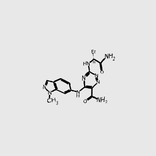 CC[C@@H](Nc1nnc(C(N)=O)c(Nc2ccc3cnn(C)c3c2)n1)C(N)=O